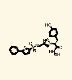 O=C(NO)[C@H](Cc1ccc(O)cc1)n1cc(CNS(=O)(=O)c2ccc(-c3ccccc3)s2)nn1